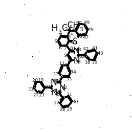 CC1(C)C2=CC=CC(c3cc(-c4ccc(-c5nc(-c6ccccc6)nc(-c6ccccc6)n5)cc4)nc(-c4ccccc4)n3)C2Sc2ccccc21